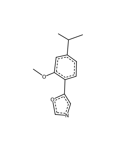 COc1cc(C(C)C)ccc1-c1cnco1